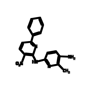 Cc1nc(Nc2nc(-c3ccccc3)ccc2[N+](=O)[O-])ccc1N